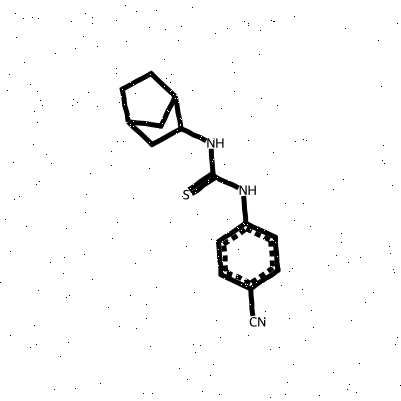 N#Cc1ccc(NC(=S)NC2CC3CCC2C3)cc1